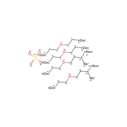 CCCCCCCCCCCCOCCCCCCCCCCCC.CCCCCCCCCCCCOCCCCCCCCCCCC.CCCCCCCCCCCCOCC[CH]([Na+])CCCCCCCCC.CCCCCCCCCCCCOCC[CH]([Na+])CCCCCCCCC.O=S(=O)([O-])[O-]